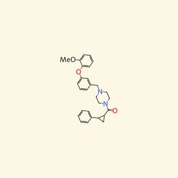 COc1ccccc1Oc1cccc(CN2CCN(C(=O)C3CC3c3ccccc3)CC2)c1